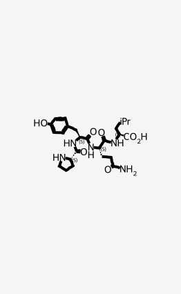 CC(C)C[C@H](NC(=O)[C@H](CCC(N)=O)NC(=O)[C@H](Cc1ccc(O)cc1)NC(=O)[C@@H]1CCCN1)C(=O)O